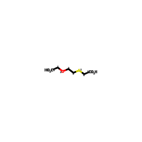 O=C(O)COCCSCC(=O)O